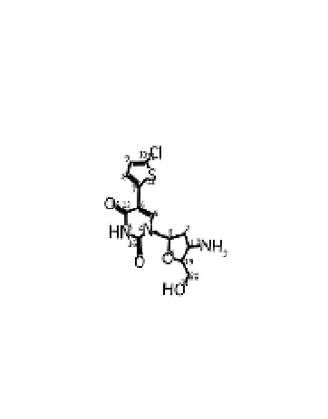 NC1CC(n2cc(-c3ccc(Cl)s3)c(=O)[nH]c2=O)OC1CO